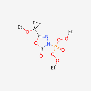 CCOOP(=O)(OOCC)n1nc(C2(OCC)CC2)oc1=O